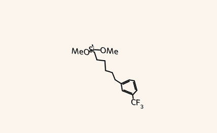 CO[Si](C)(CCCCCc1cccc(C(F)(F)F)c1)OC